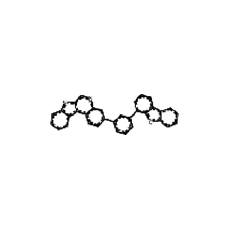 c1cc(-c2ccc3c(c2)ncc2oc4ccccc4c23)cc(-c2cccc3c2oc2ccccc23)c1